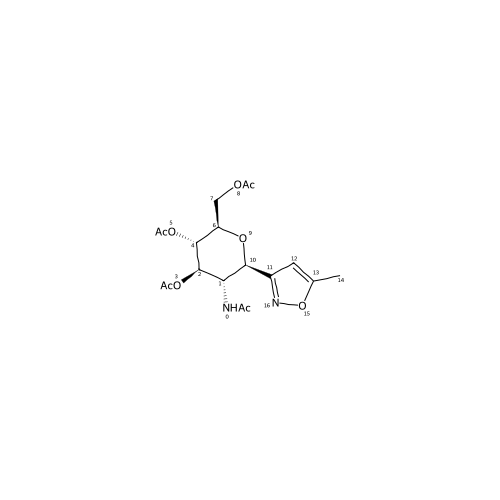 CC(=O)N[C@@H]1[C@@H](OC(C)=O)[C@H](OC(C)=O)[C@@H](COC(C)=O)O[C@H]1c1cc(C)on1